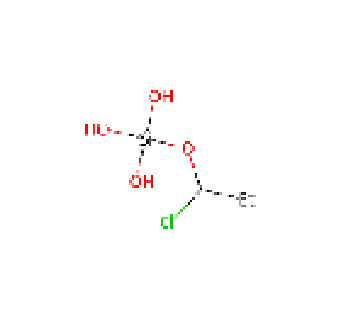 CCC(Cl)O[Si](O)(O)O